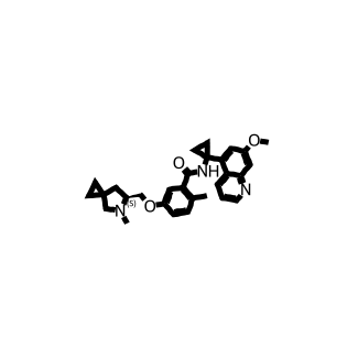 COc1cc(C2(NC(=O)c3cc(OC[C@@H]4CC5(CC5)CN4C)ccc3C)CC2)c2cccnc2c1